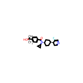 C[C@](O)(c1ccc(C(=O)N(C2CC2)[C@H]2CC[C@H](C3CC=NC=C3F)CC2)cc1)C(F)(F)F